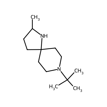 CC1CCC2(CCN(C(C)(C)C)CC2)N1